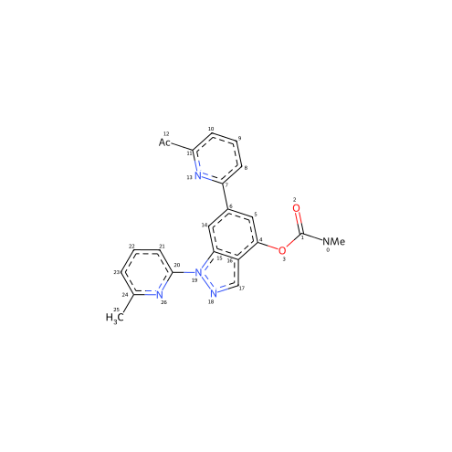 CNC(=O)Oc1cc(-c2cccc(C(C)=O)n2)cc2c1cnn2-c1cccc(C)n1